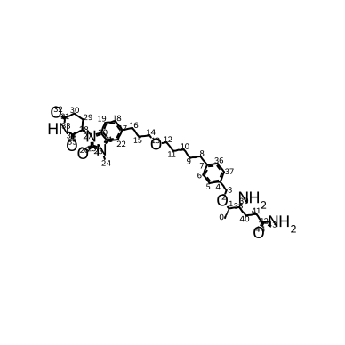 C[C@@H](OCc1ccc(CCCCCOCCCc2ccc3c(c2)n(C)c(=O)n3C2CCC(=O)NC2=O)cc1)[C@@H](N)CCC(N)=O